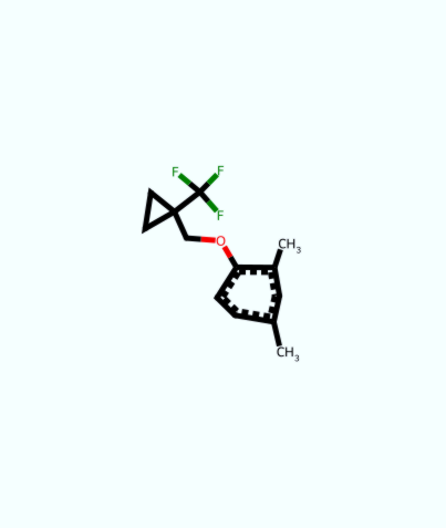 Cc1ccc(OCC2(C(F)(F)F)CC2)c(C)c1